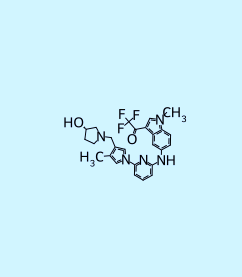 Cc1cn(-c2cccc(Nc3ccc4c(c3)c(C(=O)C(F)(F)F)cn4C)n2)cc1CN1CC[C@@H](O)C1